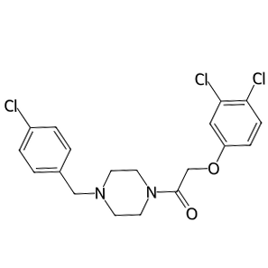 O=C(COc1ccc(Cl)c(Cl)c1)N1CCN(Cc2ccc(Cl)cc2)CC1